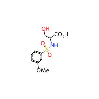 COc1cccc(S(=O)(=O)NC(CO)C(=O)O)c1